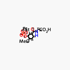 CCOP(=O)(OCC)Oc1cc(C(=O)NCC(=O)O)ccc1OC